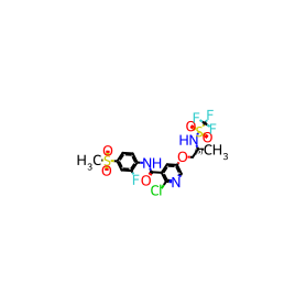 C[C@@H](COc1cnc(Cl)c(C(=O)Nc2ccc(S(C)(=O)=O)cc2F)c1)NS(=O)(=O)C(F)(F)F